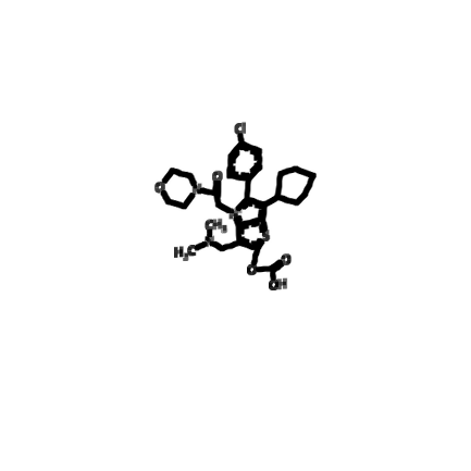 CN(C)Cc1c(OC(=O)O)sc2c(C3CCCCC3)c(-c3ccc(Cl)cc3)n(CC(=O)N3CCOCC3)c12